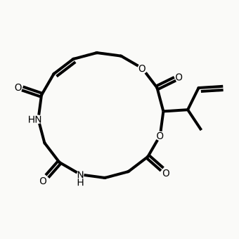 C=CC(C)C1OC(=O)CCNC(=O)CNC(=O)C=CCCOC1=O